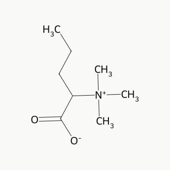 CCCC(C(=O)[O-])[N+](C)(C)C